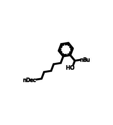 CCCCCCCCCCCCCCCc1ccccc1C(O)CCCC